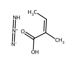 CC=C(C)C(=O)O.[N-]=[N+]=N